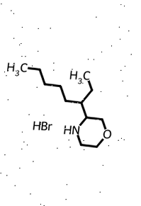 Br.CCCCCC(CC)C1COCCN1